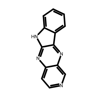 c1ccc2c(c1)[nH]c1nc3ccncc3nc12